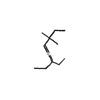 CCC(=C=CC(C)(C)CC)CC